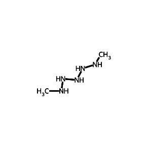 CNNNNNC